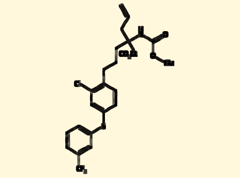 C=CCC(CCCc1ccc(Sc2cccc(C(F)(F)F)c2)cc1Cl)(NC(=O)OC(C)(C)C)C(=O)OCC